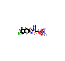 Cc1nc(NC(=O)COS(=O)(=O)N(C)C)sc1Cc1ccc(F)cc1